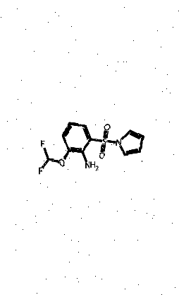 Nc1c(OC(F)F)cccc1S(=O)(=O)n1cccc1